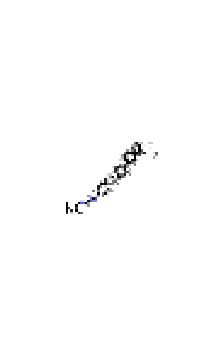 N#C/C=C/C=C/[C@H]1CC[C@H](OC[C@H]2CC[C@H](c3ccc(OC(F)(F)F)cc3)CC2)CC1